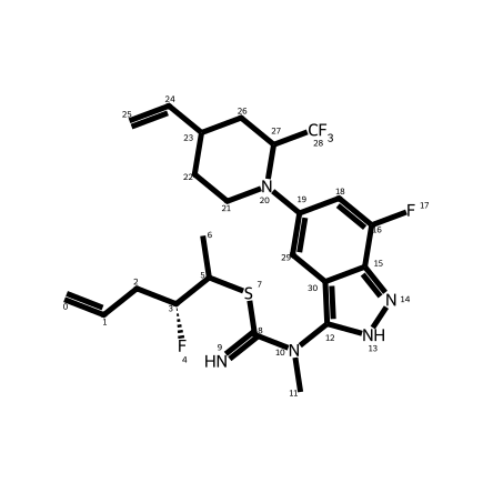 C=CC[C@@H](F)C(C)SC(=N)N(C)c1[nH]nc2c(F)cc(N3CCC(C=C)CC3C(F)(F)F)cc12